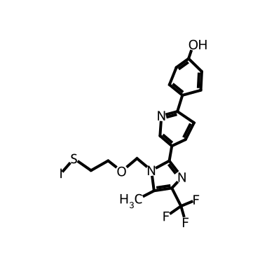 Cc1c(C(F)(F)F)nc(-c2ccc(-c3ccc(O)cc3)nc2)n1COCCSI